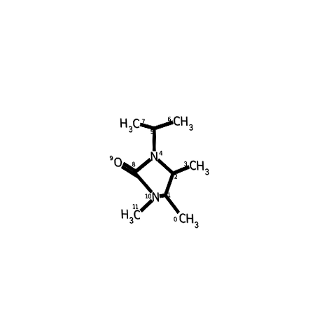 CC1C(C)N(C(C)C)C(=O)N1C